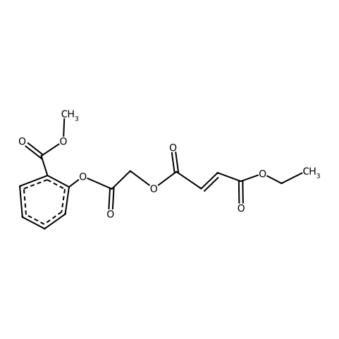 CCOC(=O)C=CC(=O)OCC(=O)Oc1ccccc1C(=O)OC